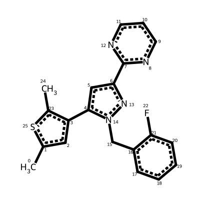 Cc1cc(-c2cc(-c3ncccn3)nn2Cc2ccccc2F)c(C)s1